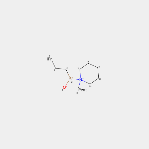 CCCC(C)[N+]1([S+]([O-])CCC(C)C)CCCCC1